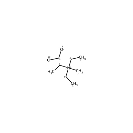 CC[N+](C)(CC)CC.[O]CCl